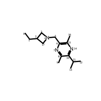 CCC1CN(Cc2nc(C)c(C(C)C)nc2C)C1